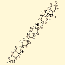 CC1=Nc2cc3c(cc2C1)CC(c1ccc(C2=Nc4cc5c(cc4C2)CC(c2ccc(C(c4ccc(C)cc4)(C(F)(F)F)C(F)(F)F)cc2)=N5)cc1)=N3